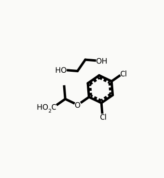 CC(Oc1ccc(Cl)cc1Cl)C(=O)O.OCCO